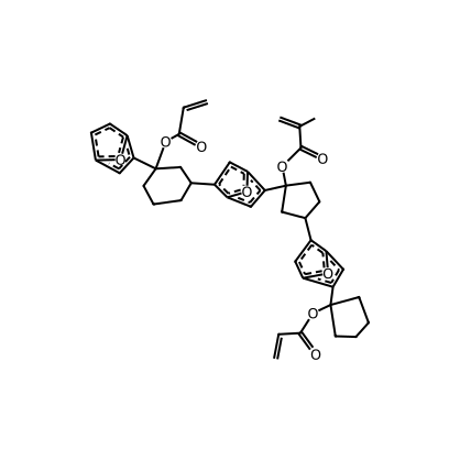 C=CC(=O)OC1(c2cc3ccc2o3)CCCC(c2cc3oc2cc3C2(OC(=O)C(=C)C)CCC(c3cc4oc3cc4C3(OC(=O)C=C)CCCC3)C2)C1